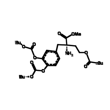 CCCCC(=O)OCC[C@@](N)(Cc1ccc(OC(=O)O[C@@H](C)CC)c(OC(=O)OC(C)CC)c1)C(=O)OC